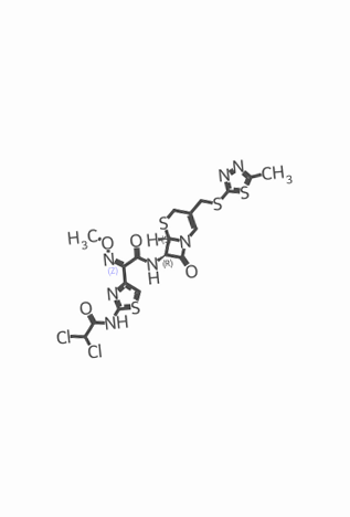 CO/N=C(\C(=O)N[C@@H]1C(=O)N2C=C(CSc3nnc(C)s3)CS[C@@H]12)c1csc(NC(=O)C(Cl)Cl)n1